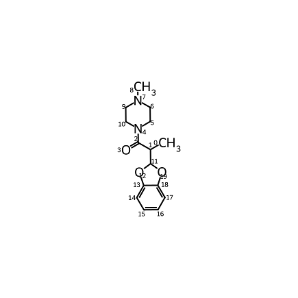 CC(C(=O)N1CCN(C)CC1)C1Oc2ccccc2O1